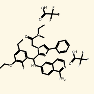 CCOc1cc(CC)cc(C(Nc2ccc3c(N)nccc3c2)c2nc(-c3ccccc3)cn2CC(=O)N(C)CC)c1F.O=C(O)C(F)(F)F.O=C(O)C(F)(F)F